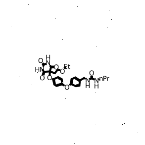 CCCNC(=O)NCc1ccc(Oc2ccc(OC3(CCOCC)C(=O)NC(=O)NC3=O)cc2)cc1